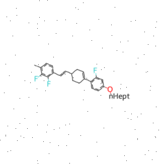 CCCCCCCOc1ccc(C2=CCC(/C=C/c3ccc(C)c(F)c3F)CC2)c(F)c1